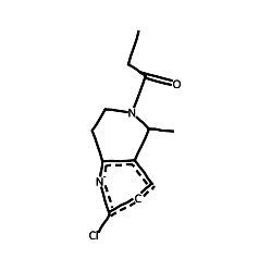 CCC(=O)N1CCc2nc(Cl)ccc2C1C